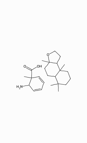 CC1(C(=O)O)C=CC=CC1N.CC1(C)CCCC2(C)C1CCC1(C)OCCC12